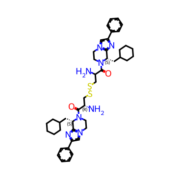 NC(CSSC[C@H](N)C(=O)N1CCn2cc(-c3ccccc3)nc2[C@@H]1CC1CCCCC1)C(=O)N1CCn2cc(-c3ccccc3)nc2[C@@H]1CC1CCCCC1